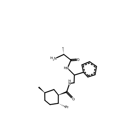 CC(C)[C@@H]1CC[C@@H](C)C[C@H]1C(=O)NCC(NC(=O)[C@@H](C)N)c1ccccc1